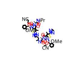 COc1ccccc1[C@H](Cn1c(=O)n([C@H](C)C(=O)N(C)C(C)Cc2cnn(-c3sc4c(c3C)c(=O)n([C@@H](C)C(=O)N(C)C(C)C)c(=O)n4C[C@H](OCCC#N)c3ccccc3OC)n2)c(=O)c2c(C)c(-n3nccn3)sc21)OCCC#N